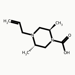 C=CCN1C[C@@H](C)N(C(=O)O)C[C@@H]1C